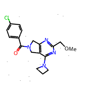 COCc1nc2c(c(N3CCC3)n1)CN(C(=O)c1ccc(Cl)cc1)C2